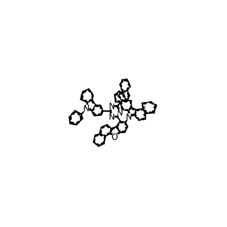 c1ccc(-n2c3ccccc3c3cc(-c4nc(-c5ccc6ccccc6c5)nc(-c5c(-n6c7cc8ccccc8cc7c7c8ccccc8ccc76)ccc6oc7c8ccccc8ccc7c56)n4)ccc32)cc1